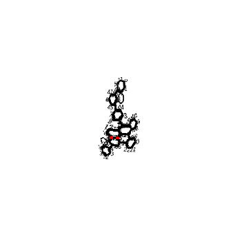 C1=Cc2oc3c(-c4ccc(-c5c6ccccc6c(-c6ccccc6-c6ccc7oc8ccccc8c7c6)c6ccccc56)cc4)cccc3c2CC1